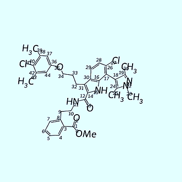 COC(=O)c1ccccc1CCNC(=O)c1[nH]c2c(-c3c(C)nn(C)c3C)c(Cl)ccc2c1CCCOc1cc(C)c(Cl)c(C)c1